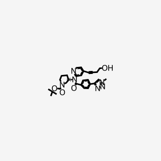 Cn1cc(-c2ccc(C(=O)N(c3cc(C#CCCO)ccn3)[C@@H]3CCCN(C(=O)OC(C)(C)C)C3)cc2)nn1